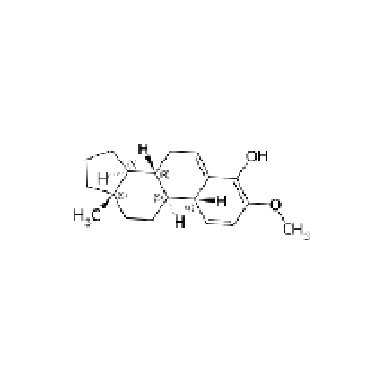 COC1=C(O)C2=CC[C@@H]3[C@H](CC[C@]4(C)CCC[C@@H]34)[C@H]2C=C1